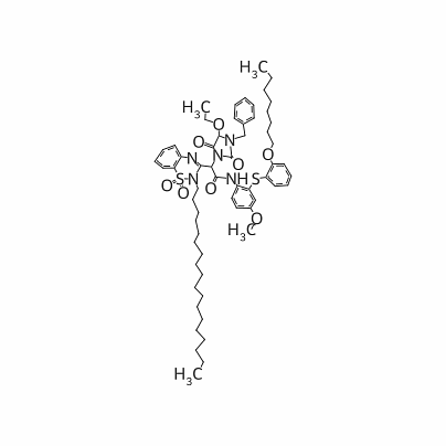 CCCCCCCCCCCCCCCCCCN1C(C(C(=O)Nc2ccc(OC)cc2Sc2ccccc2OCCCCCCCC)N2C(=O)C(OCC)N(Cc3ccccc3)C2=O)=Nc2ccccc2S1(=O)=O